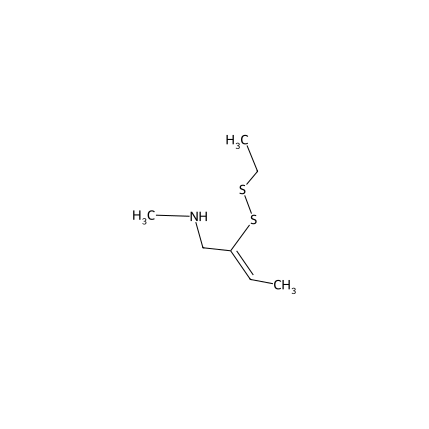 C/C=C(/CNC)SSCC